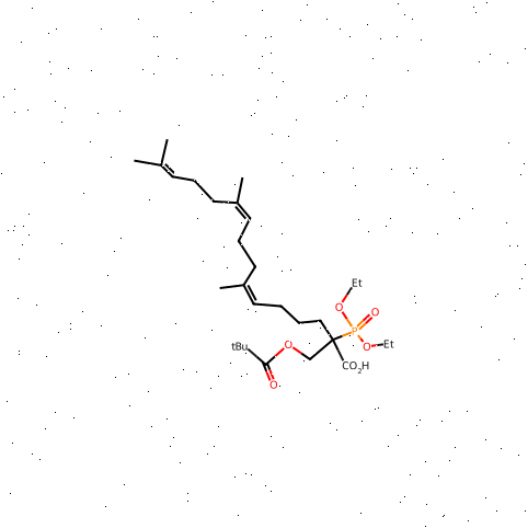 CCOP(=O)(OCC)C(CCCC=C(C)CCC=C(C)CCC=C(C)C)(COC(=O)C(C)(C)C)C(=O)O